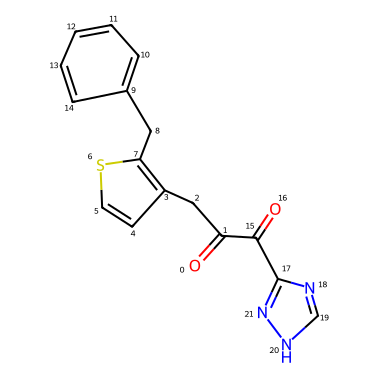 O=C(Cc1ccsc1Cc1ccccc1)C(=O)c1nc[nH]n1